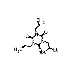 C=CCn1c(=O)n(CC=C)c(=O)n(CC(CC)CCCC)c1=O